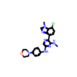 CNc1nc(Nc2ccc(N3CCOCC3)cc2)cnc1-c1ccc(Cl)c2c1ncn2C